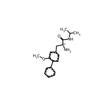 COc1cc(C[C@H](N)C(=O)NC(C)C)ccc1-c1ccccc1